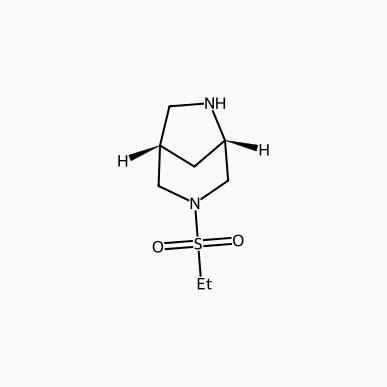 CCS(=O)(=O)N1C[C@@H]2CN[C@@H](C2)C1